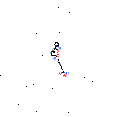 O=C(CCCCCCCNC(=O)c1cccc(/C=C2\C(=O)Nc3ccc(F)cc32)c1)NO